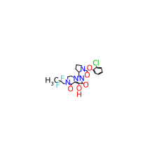 CC(F)(F)CN1CCn2c(C3CCCN3C(=O)Oc3ccccc3Cl)nc(=O)c(O)c2C1=O